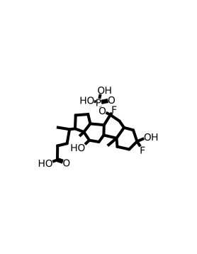 CC(CCC(=O)O)C1CCC2C3C(CC(O)C12C)C1(C)CCC(O)(F)CC1CC3(F)OP(=O)(O)O